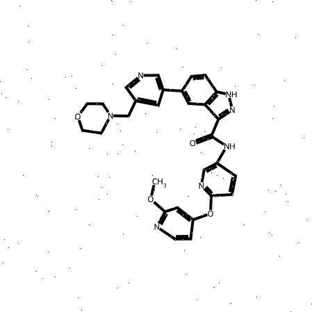 COc1cc(Oc2ccc(NC(=O)c3n[nH]c4ccc(-c5cncc(CN6CCOCC6)c5)cc34)cn2)ccn1